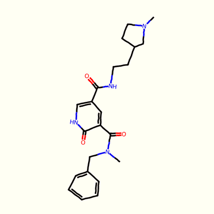 CN1CCC(CCNC(=O)c2c[nH]c(=O)c(C(=O)N(C)Cc3ccccc3)c2)C1